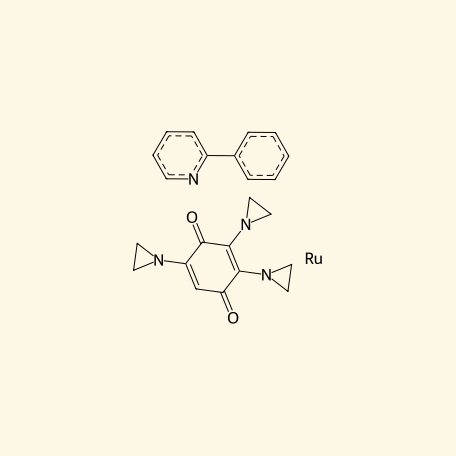 O=C1C=C(N2CC2)C(=O)C(N2CC2)=C1N1CC1.[Ru].c1ccc(-c2ccccn2)cc1